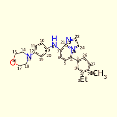 CCc1cc(-c2ccc(Nc3ccc(N4CCOCC4)cc3)c3nccn23)ccc1C